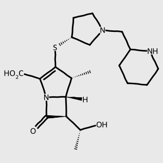 C[C@@H](O)[C@H]1C(=O)N2C(C(=O)O)=C(S[C@@H]3CCN(CC4CCCCN4)C3)[C@H](C)[C@H]12